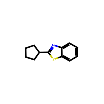 [c]1ccc2sc(C3CCCC3)nc2c1